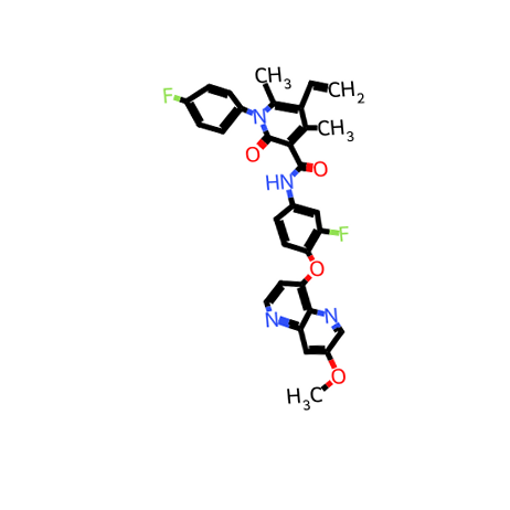 C=Cc1c(C)c(C(=O)Nc2ccc(Oc3ccnc4cc(OC)cnc34)c(F)c2)c(=O)n(-c2ccc(F)cc2)c1C